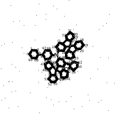 c1ccc(-c2ccc(N(c3ccc4c(c3)C3(c5ccccc5-c5ccccc53)c3ccccc3-4)c3cc(C4(c5ccccc5)c5ccccc5-c5ccccc54)c4oc5ccccc5c4c3)cc2)cc1